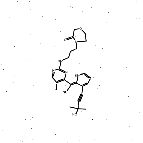 Cc1cnc(NCCCN2CCOCC2=O)nc1/C(C#N)=C1\NC=CC=C1C#CC(C)(C)O